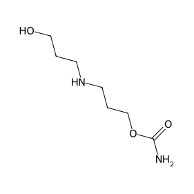 NC(=O)OCCCNCCCO